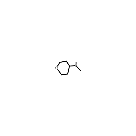 CN[C]1CCOCC1